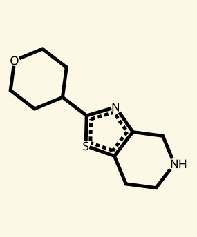 C1Cc2sc(C3CCOCC3)nc2CN1